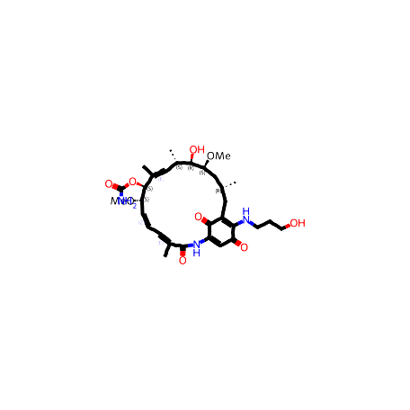 CO[C@H]1/C=C\C=C(/C)C(=O)NC2=CC(=O)C(NCCCO)=C(C[C@@H](C)C[C@H](OC)[C@H](O)[C@@H](C)/C=C(\C)[C@@H]1OC(N)=O)C2=O